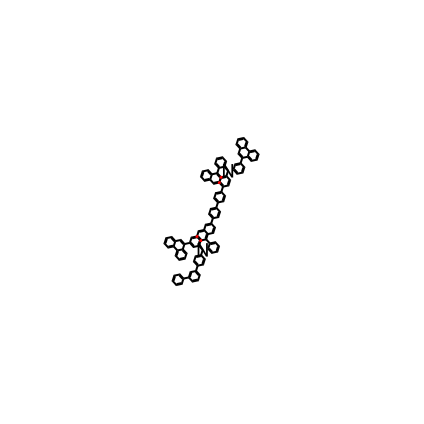 c1ccc(-c2cccc(-c3ccc(N(c4cccc(-c5cc6ccccc6c6ccccc56)c4)c4ccccc4-c4cccc5cc(-c6ccc(-c7ccc(-c8ccc(N(c9cccc(-c%10cc%11ccccc%11c%11ccccc%10%11)c9)c9ccccc9-c9cccc%10ccccc9%10)cc8)cc7)cc6)ccc45)cc3)c2)cc1